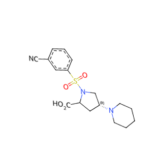 N#Cc1cccc(S(=O)(=O)N2C[C@H](N3CCCCC3)CC2C(=O)O)c1